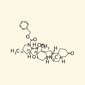 CC1=C2C[C@H]3C(CC[C@@H]4CC(=O)CCC43C)[C@@H]2CC[C@]12O[C@@H]1C[C@H](C)CN(C(=O)OCc3ccccc3)[C@H]1[C@H]2C